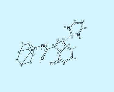 O=C(NC1C2CC3CC(C2)CC1C3)c1cn(-c2ncccn2)c2cccc(Cl)c12